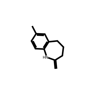 C=C1CCCc2cc(C)ccc2N1